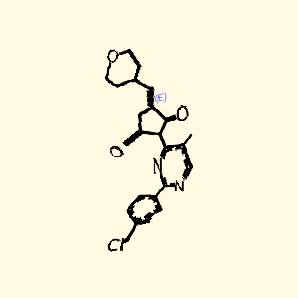 Cc1cnc(-c2ccc(Cl)cc2)nc1C1C(=O)C/C(=C\C2CCOCC2)C1=O